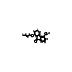 CC=CCOC1CCCC2c3c(OC)cccc3C(=O)C12